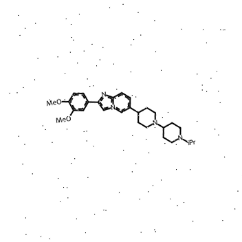 COc1ccc(-c2cn3cc(C4CCN(C5CCN(C(C)C)CC5)CC4)ccc3n2)cc1OC